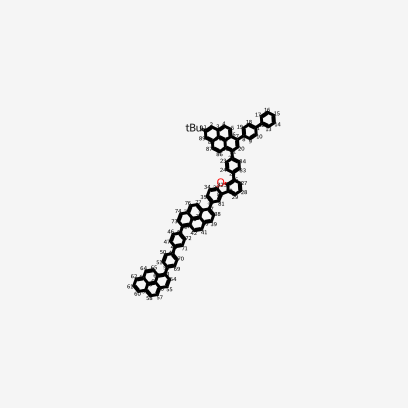 CC(C)(C)c1cc2ccc3c(-c4ccc(-c5ccccc5)cc4)cc(-c4ccc(-c5cccc6c5oc5ccc(-c7ccc8ccc9c(-c%10ccc(-c%11ccc(-c%12ccc%13ccc%14cccc%15ccc%12c%13c%14%15)cc%11)cc%10)ccc%10ccc7c8c%109)cc56)cc4)c4ccc(c1)c2c34